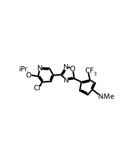 CNc1ccc(-c2nc(-c3cnc(OC(C)C)c(Cl)c3)no2)c(C(F)(F)F)c1